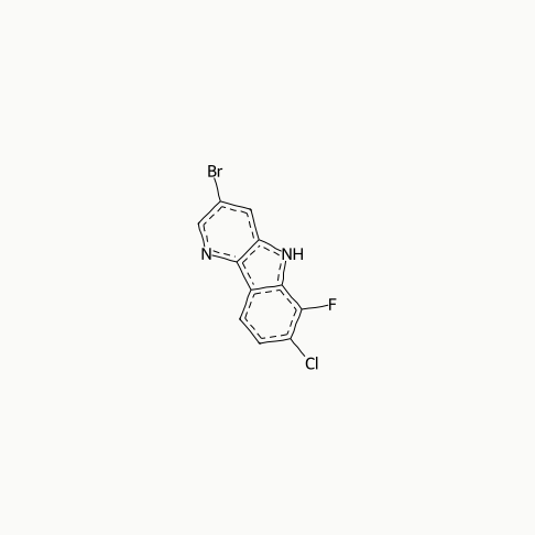 Fc1c(Cl)ccc2c1[nH]c1cc(Br)cnc12